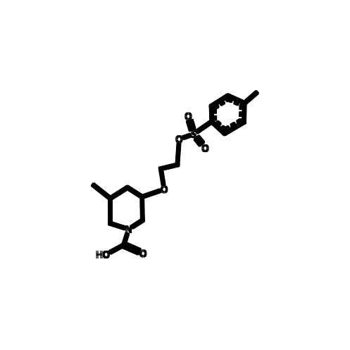 Cc1ccc(S(=O)(=O)OCCOC2CC(C)CN(C(=O)O)C2)cc1